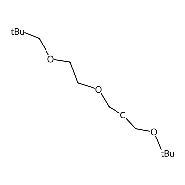 CC(C)(C)COCCOCCCOC(C)(C)C